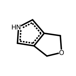 c1[nH]cc2c1COC2